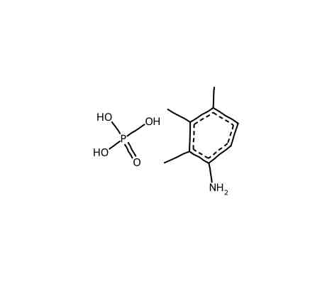 Cc1ccc(N)c(C)c1C.O=P(O)(O)O